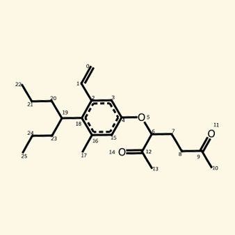 C=Cc1cc(OC(CCC(C)=O)C(C)=O)cc(C)c1C(CCC)CCC